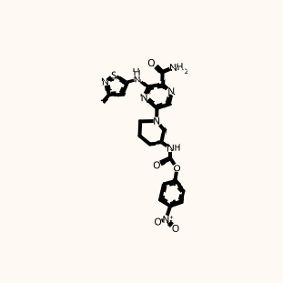 Cc1cc(Nc2nc(N3CCCC(NC(=O)Oc4ccc([N+](=O)[O-])cc4)C3)cnc2C(N)=O)sn1